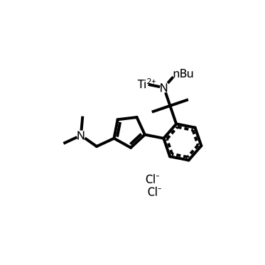 CCCC[N]([Ti+2])C(C)(C)c1ccccc1C1=CC(CN(C)C)=CC1.[Cl-].[Cl-]